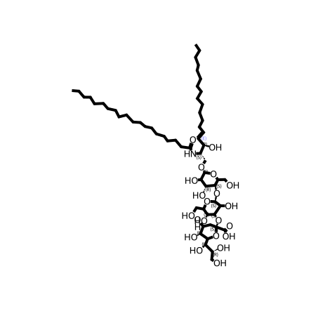 CCCCCCCCCCCCC/C=C/[C@@H](O)[C@H](CO[C@@H]1OC(CO)[C@@H](O[C@@H]2OC(CO)[C@H](O)[C@H](O[C@]3(C(=O)O)CC(O)[C@@H](O)C([C@H](O)[C@H](O)CO)O3)C2O)[C@H](O)C1O)NC(=O)CCCCCCCCCCCCCCCCCCC